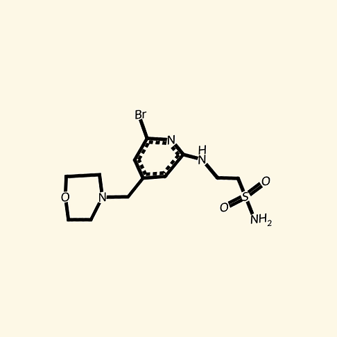 NS(=O)(=O)CCNc1cc(CN2CCOCC2)cc(Br)n1